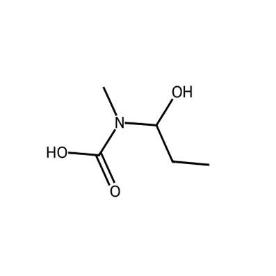 CCC(O)N(C)C(=O)O